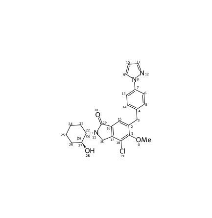 COc1c(Cc2ccc(-n3cccn3)cc2)cc2c(c1Cl)CN([C@H]1CCCC[C@@H]1O)C2=O